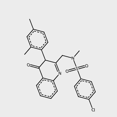 Cc1ccc(C2C(=O)c3ccccc3N=C2CN(C)S(=O)(=O)c2ccc(Cl)cc2)c(C)c1